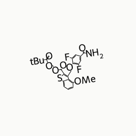 COc1cccc2sc(C(=O)OCOC(=O)C(C)(C)C)c(COc3c(F)cc(C(N)=O)cc3F)c12